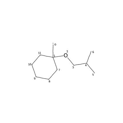 [CH2]C1(OCC(C)C)CCCCC1